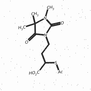 CC(=O)SC(CCN1C(=O)N(C)C(C)(C)C1=O)C(=O)O